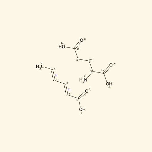 C/C=C/C=C/C(=O)O.NC(CCC(=O)O)C(=O)O